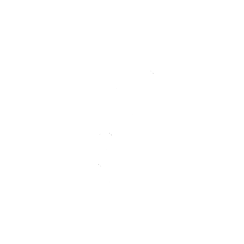 COc1ccncc1/C(Br)=C/c1ccc(N2C[C@H](CNC(C)=O)OC2=O)cc1F